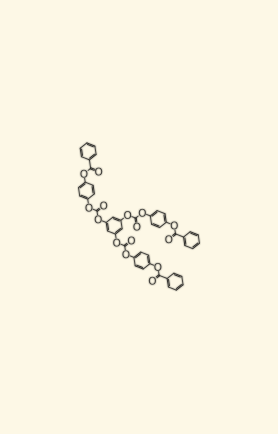 O=C(Oc1ccc(OC(=O)c2ccccc2)cc1)Oc1cc(OC(=O)Oc2ccc(OC(=O)c3ccccc3)cc2)cc(OC(=O)Oc2ccc(OC(=O)c3ccccc3)cc2)c1